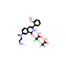 CN(CCN)c1ccc2cc(-c3ccccc3OC(F)(F)F)[nH]c(=O)c2c1.O=C(O)C(F)(F)F.O=C(O)C(F)(F)F